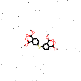 COC(=O)c1ccc(Sc2ccc(C(=O)OC)c(C(=O)OC)c2)cc1C(=O)OC